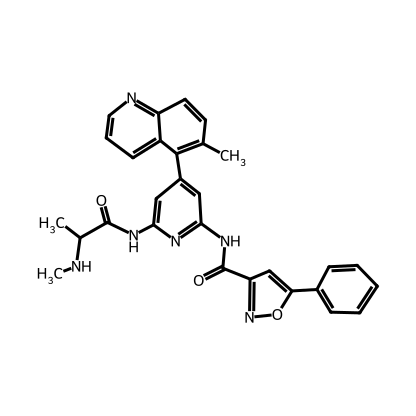 CNC(C)C(=O)Nc1cc(-c2c(C)ccc3ncccc23)cc(NC(=O)c2cc(-c3ccccc3)on2)n1